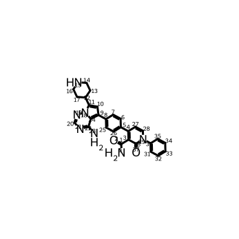 NC(=O)c1c(-c2ccc(-c3cc(C4CCNCC4)n4ncnc(N)c34)cc2)ccn(-c2ccccc2)c1=O